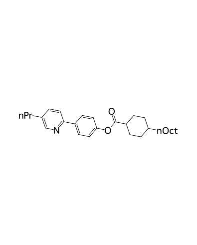 CCCCCCCCC1CCC(C(=O)Oc2ccc(-c3ccc(CCC)cn3)cc2)CC1